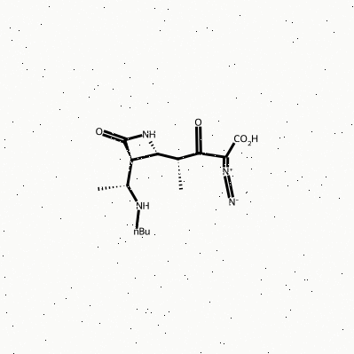 CCCCN[C@H](C)[C@H]1C(=O)N[C@@H]1[C@@H](C)C(=O)C(=[N+]=[N-])C(=O)O